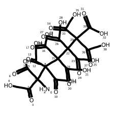 NC(C(=O)O)(C(=O)O)C(C(=O)O)(C(=O)O)C(C(=O)O)(C(=O)O)C(C(=O)O)(C(=O)O)C(C(=O)O)(C(=O)O)C(=O)O